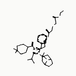 CCNC(=O)COCC(=O)NCCc1nnc(C(C)C)n1C1CC2CCC(C1)N2CC[C@H](NC(=O)C1CCC(F)(F)CC1)c1ccccc1